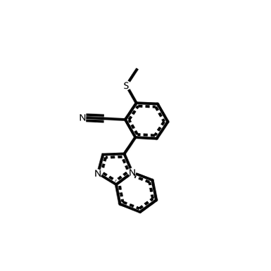 CSc1cccc(-c2cnc3ccccn23)c1C#N